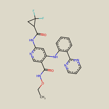 CCONC(=O)c1cnc(NC(=O)C2CC2(F)F)cc1Nc1ccccc1-c1ncccn1